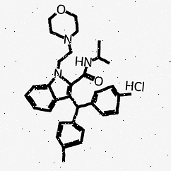 Cc1ccc(C(c2ccc(C)cc2)c2c(C(=O)NC(C)C)n(CCN3CCOCC3)c3ccccc23)cc1.Cl